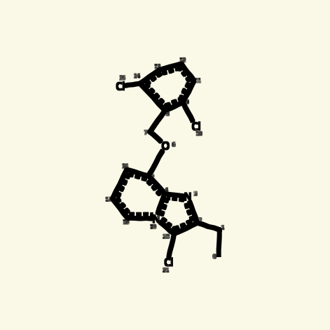 CCc1nc2c(OCc3c(Cl)cccc3Cl)cccn2c1Cl